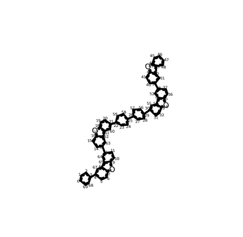 c1ccc(-c2ccc3oc4ccc(-c5ccc6oc7ccc(-c8ccc(-c9ccc(-c%10ccc%11oc%12ccc(-c%13ccc%14oc%15ccccc%15c%14c%13)cc%12c%11c%10)cc9)cc8)cc7c6c5)cc4c3c2)cc1